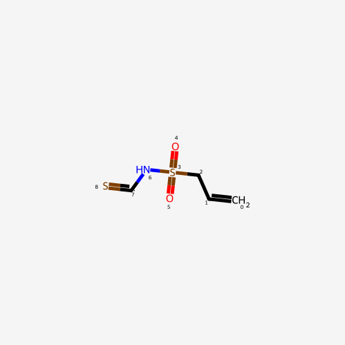 C=CCS(=O)(=O)N[C]=S